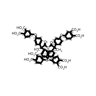 CC(C(=O)OC(=O)C(C)(c1ccc(Oc2ccc(C(=O)O)c(C(=O)O)c2)cc1)c1ccc(Oc2ccc(C(=O)O)c(C(=O)O)c2)cc1)(c1ccc(Oc2ccc(C(=O)O)c(C(=O)O)c2)cc1)c1ccc(Oc2ccc(C(=O)O)c(C(=O)O)c2)cc1